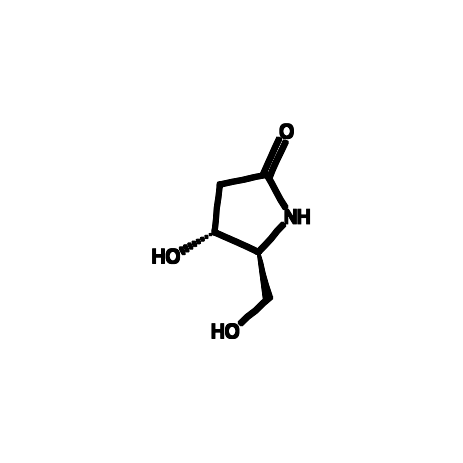 O=C1C[C@@H](O)[C@H](CO)N1